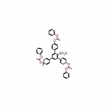 CC(Oc1ccccc1)Oc1ccc(-c2cc(C3=CCC(C)(OC(C)Oc4ccccc4)C=C3)cc(C3=CCC(OC(C)Oc4ccccc4)C=C3)c2S(=O)(=O)O)cc1